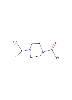 CC(C)C(=O)N1CCN(C(C)C(F)(F)F)CC1